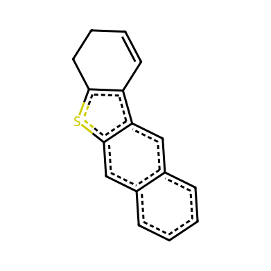 C1=Cc2c(sc3cc4ccccc4cc23)CC1